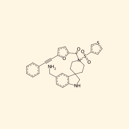 NCc1ccc2c(c1)C1(CC[N+](C(=O)c3ccc(C#Cc4ccccc4)o3)(S(=O)(=O)c3ccsc3)CC1)CN2